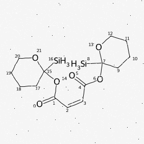 O=C(/C=C\C(=O)OC1([SiH3])CCCCO1)OC1([SiH3])CCCCO1